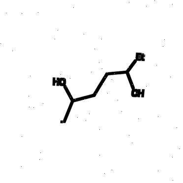 [CH2]C(O)CCC(O)CC